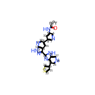 CCCC(=O)Nc1cncc(-c2cnc3[nH]nc(-c4nc5c(-c6ccsc6)cncc5[nH]4)c3c2)c1